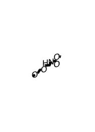 COCCOCCNC(=O)OC